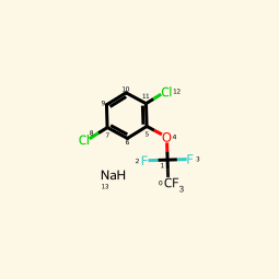 FC(F)(F)C(F)(F)Oc1cc(Cl)ccc1Cl.[NaH]